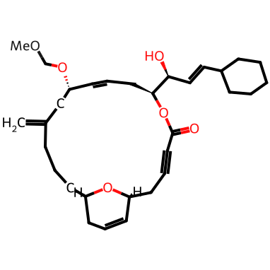 C=C1CCC[C@@H]2CC=C[C@@H](CC#CC(=O)O[C@H]([C@@H](O)/C=C/C3CCCCC3)C/C=C/[C@@H](OCOC)C1)O2